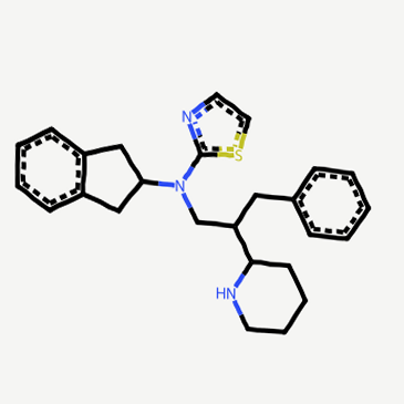 c1ccc(CC(CN(c2nccs2)C2Cc3ccccc3C2)C2CCCCN2)cc1